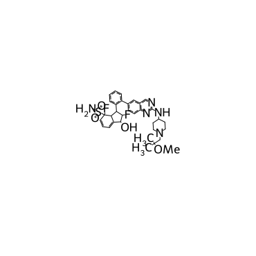 COC(C)(C)CN1CCC(Nc2ncc3cc(-c4ccccc4C4C(F)C(O)C5=CC=CC(F)(S(N)(=O)=O)C54)ccc3n2)CC1